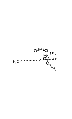 CCCCCCCCCCCCCCCCCCCc1cccc(C(=C(CCCC)C(=C=[N+]=[N-])CCCC)c2cccc(CCCC)c2)c1.c1ccc(C[O][Ni][O]Cc2ccccc2)cc1